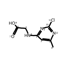 Cc1cc(NCC(=O)O)nc(Cl)n1